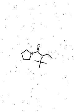 CCN(C(=O)N1CCCC1)C(C)(C)C